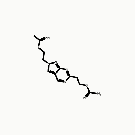 CC(=N)SCCn1cc2cnc(CCSC(=N)N)nc2n1